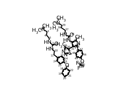 CN(C)CCCNC(=O)NCCc1ccc(Oc2ccccc2)cc1.Cc1nnsc1-c1c(NC(=O)NCCCN(C)C)c(C)nn1-c1ccc(OC(F)(F)F)cc1